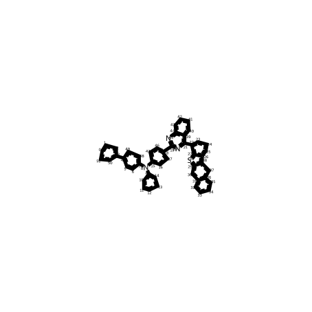 c1ccc(-c2ccc(N(c3ccccc3)c3ccc(-c4nc(-c5cccc6c5sc5cc7ccccc7cc56)c5ccccc5n4)cc3)cc2)cc1